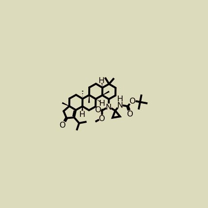 COC(=O)N(C1CCC(C)(C)[C@@H]2CC[C@]3(C)[C@H](CC[C@@H]4C5=C(C(C)C)C(=O)C[C@]5(C)CC[C@]43C)[C@@]12C)C1(NC(=O)OC(C)(C)C)CC1